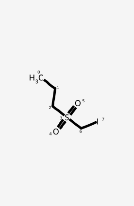 CCCS(=O)(=O)CI